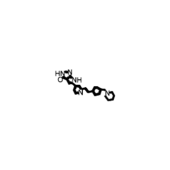 O=c1[nH]cnc2[nH]c(-c3ccnc(/C=C/c4ccc(CN5CCCCC5)cc4)c3)cc12